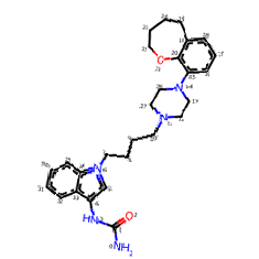 NC(=O)Nc1cn(CCCCN2CCN(c3cccc4c3OCCCC4)CC2)c2ccccc12